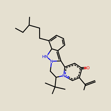 C=C(C)c1cn2c(cc1=O)C1=C3C=CC=C(CCC(C)CC)C3NN1CC2C(C)(C)C